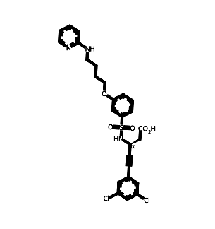 O=C(O)C[C@@H](C#Cc1cc(Cl)cc(Cl)c1)NS(=O)(=O)c1cccc(OCCCCNc2ccccn2)c1